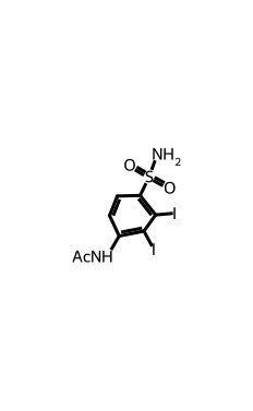 CC(=O)Nc1ccc(S(N)(=O)=O)c(I)c1I